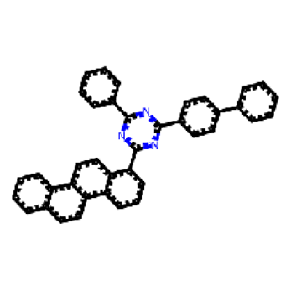 c1ccc(-c2ccc(-c3nc(-c4ccccc4)nc(-c4cccc5c4ccc4c6ccccc6ccc54)n3)cc2)cc1